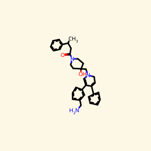 CC(CC(=O)N1CCC(O)(CN2C=C(c3cccc(CN)c3)C(c3ccccc3)=CC2)CC1)c1ccccc1